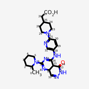 CC1CCCCN1C1=NC2C=NNC(=O)C2C(Nc2ccc(N3CCC(CC(=O)O)CC3)nc2)=N1